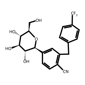 N#Cc1ccc([C@@H]2O[C@H](CO)[C@@H](O)[C@H](O)[C@H]2O)cc1Cc1ccc(C(F)(F)F)cc1